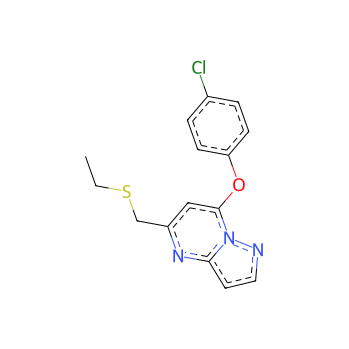 CCSCc1cc(Oc2ccc(Cl)cc2)n2nccc2n1